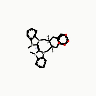 CN1/C2=C3\N(C)c4ccccc4N3C[C@@H]3C4c5ccccc5C(c5ccccc54)[C@H]3CN2c2ccccc21